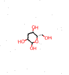 OC[C@@H]1OC(O)[C@@H](O)C[C@H]1O